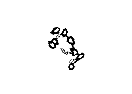 Brc1cc(-c2cccc(-c3cccc(N(c4ccccc4)c4ccc5ccccc5c4)c3)c2)cc(-c2cccc3c2oc2ccccc23)c1